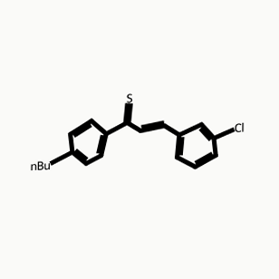 CCCCc1ccc(C(=S)C=Cc2cccc(Cl)c2)cc1